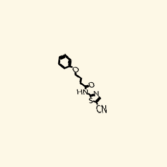 N#Cc1cnc(NC(=O)CCCOc2ccccc2)s1